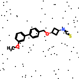 COc1cccc(-c2ccc(CO[C@H]3C[C@@H](N=C=S)C3)cc2)c1